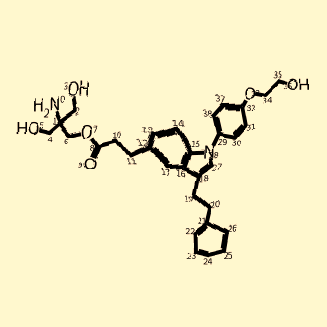 NC(CO)(CO)COC(=O)CCc1ccc2c(c1)c(CCc1ccccc1)cn2-c1ccc(OCCO)cc1